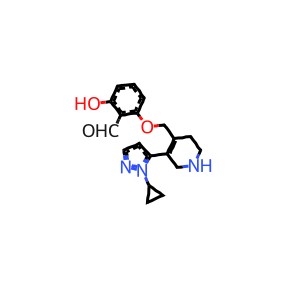 O=Cc1c(O)cccc1OCC1=C(c2ccnn2C2CC2)CNCC1